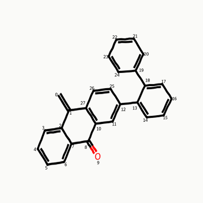 C=C1c2ccccc2C(=O)c2cc(-c3ccccc3-c3ccccc3)ccc21